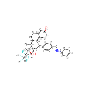 C[C@]12C[C@H](c3ccc(CNc4ccccc4)cc3)C3=C4CCC(=O)C=C4CCC3C1CC[C@@]2(O)C(F)(F)C(F)(F)F